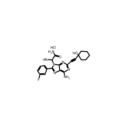 CCCCC(C(N)=O)n1c(-c2cccc(F)c2)nc2c(N)nc(C#CC3(O)CCCCC3)nc21.Cl